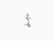 O=c1cc(CCCc2c[nH]c3ccccc23)[nH]n1C1CCCCC1